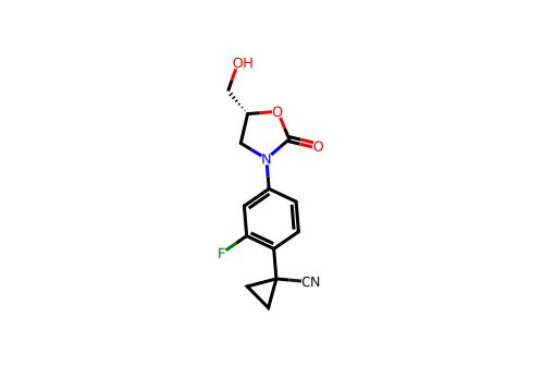 N#CC1(c2ccc(N3C[C@H](CO)OC3=O)cc2F)CC1